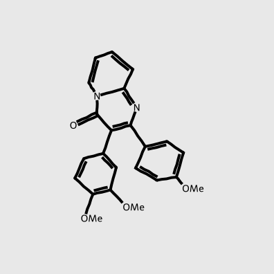 COc1ccc(-c2nc3ccccn3c(=O)c2-c2ccc(OC)c(OC)c2)cc1